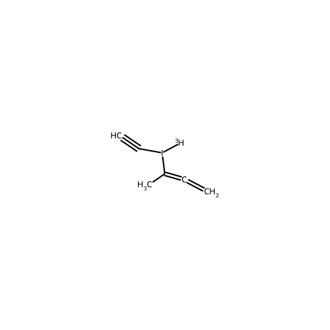 [3H]I(C#C)C(C)=C=C